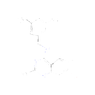 CCCc1nc(NCc2cc([N+](=O)[O-])cc(C(F)(F)F)c2)c2cc(C)c(O)cc2n1